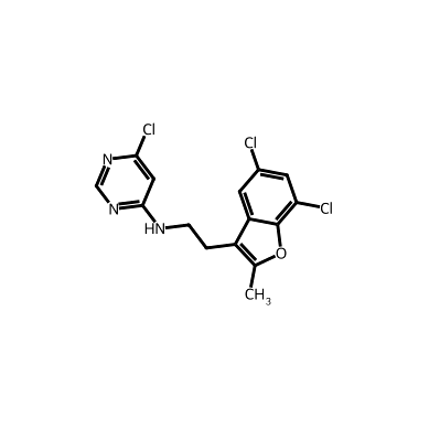 Cc1oc2c(Cl)cc(Cl)cc2c1CCNc1cc(Cl)ncn1